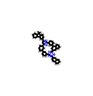 CC1(C)c2ccccc2-c2cc(-c3cc(-c4cccc(-c5cccc(-c6nc(-c7ccc8ccccc8c7)nc(-c7ccc8ccccc8c7)n6)c5)c4)nc(-c4ccccc4)n3)ccc21